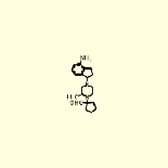 C[C@H]1CN(C2CCc3c(N)cccc32)CCN1C1(C=O)CCCC1